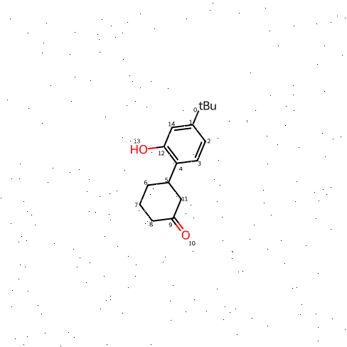 CC(C)(C)c1ccc(C2CCCC(=O)C2)c(O)c1